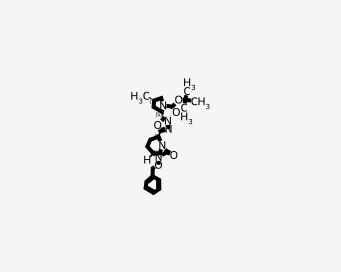 C[C@H]1C[C@@H](c2nnc([C@@H]3CC[C@@H]4CN3C(=O)N4OCc3ccccc3)o2)N(C(=O)OC(C)(C)C)C1